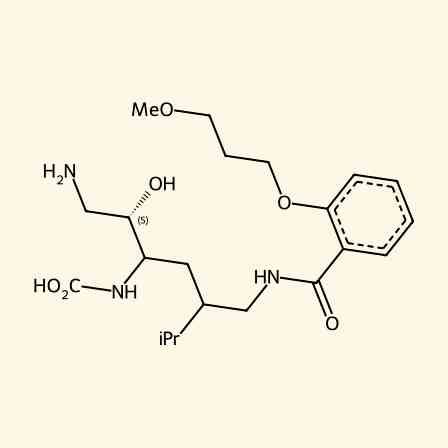 COCCCOc1ccccc1C(=O)NCC(CC(NC(=O)O)[C@@H](O)CN)C(C)C